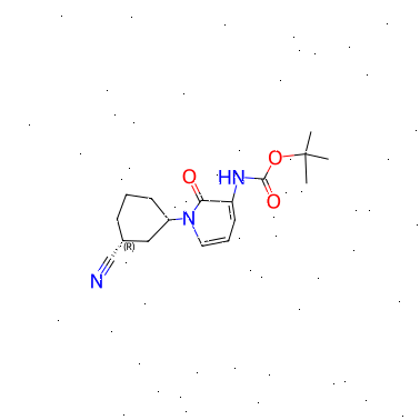 CC(C)(C)OC(=O)Nc1cccn(C2CCC[C@@H](C#N)C2)c1=O